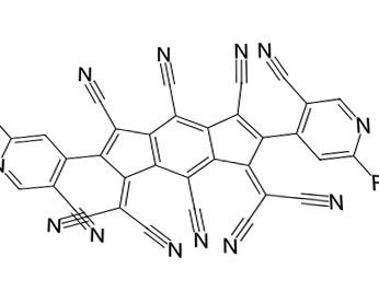 N#CC(C#N)=C1C(c2cc(F)ncc2C#N)=C(C#N)c2c(C#N)c3c(c(C#N)c21)C(=C(C#N)C#N)C(c1cc(F)ncc1C#N)=C3C#N